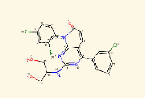 O=c1ccc2c(-c3cccc(Cl)c3)nc(NC(CO)CO)nc2n1-c1ccc(F)cc1F